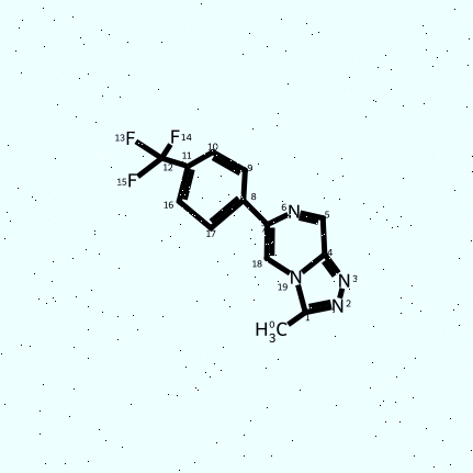 Cc1nnc2cnc(-c3ccc(C(F)(F)F)cc3)cn12